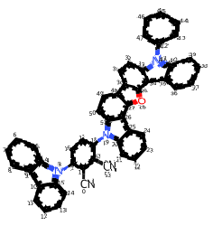 N#Cc1c(-n2c3ccccc3c3ccccc32)ccc(-n2c3ccccc3c3c4oc5c(ccc6c5c5ccccc5n6-c5ccccc5)c4ccc32)c1C#N